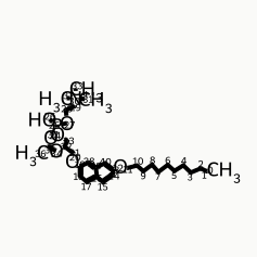 CCCCCCCCCCCCOc1ccc2ccc(OCC(COP(O)OCC[N+](C)(C)C)OC(C)=O)cc2c1